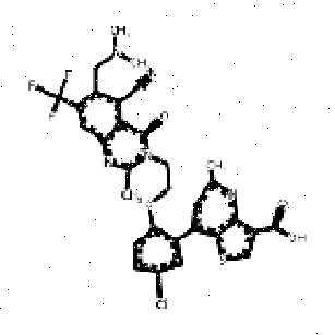 Cc1cc(-c2cc(Cl)ccc2OCCn2c(C)nc3cc(C(F)(F)F)c(CN(C)C)c(C#N)c3c2=O)c2scc(C(=O)O)c2n1